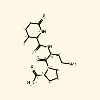 CSCC[C@H](NC(=O)C1NC(=O)CCC1C)C(=O)N1CCC[C@H]1C(N)=O